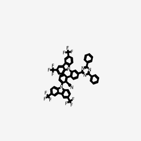 N#Cc1c(-c2ccc(-c3nc(-c4ccccc4)nc(-c4ccccc4)n3)cc2-n2c3ccc(C(F)(F)F)cc3c3cc(C(F)(F)F)ccc32)cccc1-n1c2ccc(C(F)(F)F)cc2c2cc(C(F)(F)F)ccc21